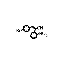 N#CC(=Cc1ccc(Br)cc1)c1ccccc1[N+](=O)[O-]